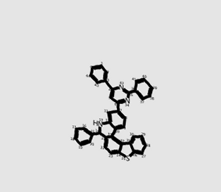 c1ccc(-c2cc(-c3ccc4c(c3)NC(c3ccccc3)c3ccc5sc6ccccc6c5c3-4)nc(-c3ccccc3)n2)cc1